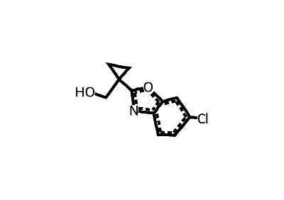 OCC1(c2nc3ccc(Cl)cc3o2)CC1